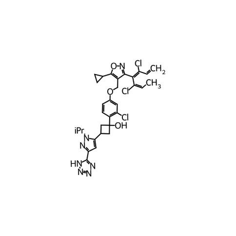 C=C/C(Cl)=C(\C(Cl)=C/C)c1noc(C2CC2)c1COc1ccc(C2(O)CC(c3cc(-c4nnn[nH]4)nn3C(C)C)C2)c(Cl)c1